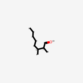 CCCCCC(C)C(C)C=O